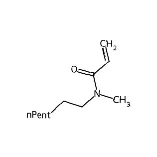 C=CC(=O)N(C)CCCCCCC